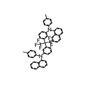 Cc1ccc(N(c2cccc(C(c3cccc(N(c4ccc(C)cc4)c4cccc5ccccc45)c3)(C(F)(F)F)C(F)(F)F)c2)c2cccc3ccccc23)cc1